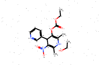 CCO.CCOC(=O)OC1=C(C)NC(C)=C([N+](=O)[O-])C1c1cccnc1